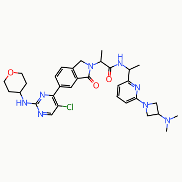 CC(NC(=O)C(C)N1Cc2ccc(-c3nc(NC4CCOCC4)ncc3Cl)cc2C1=O)c1cccc(N2CC(N(C)C)C2)n1